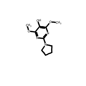 COc1nc(N2CCCC2)nc(OC)c1O